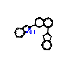 C1=C(c2cccc3ccc(-c4cc5ccccc5[nH]4)cc23)Cc2ccccc21